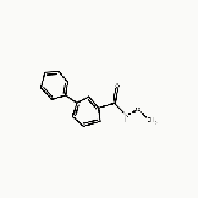 CONC(=O)c1cccc(-c2ccccc2)c1